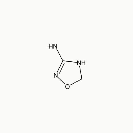 [NH]C1=NOCN1